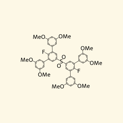 COc1cc(OC)cc(-c2cc(S(=O)(=O)c3cc(-c4cc(OC)cc(OC)c4)c(F)c(-c4cc(OC)cc(OC)c4)c3)cc(-c3cc(OC)cc(OC)c3)c2F)c1